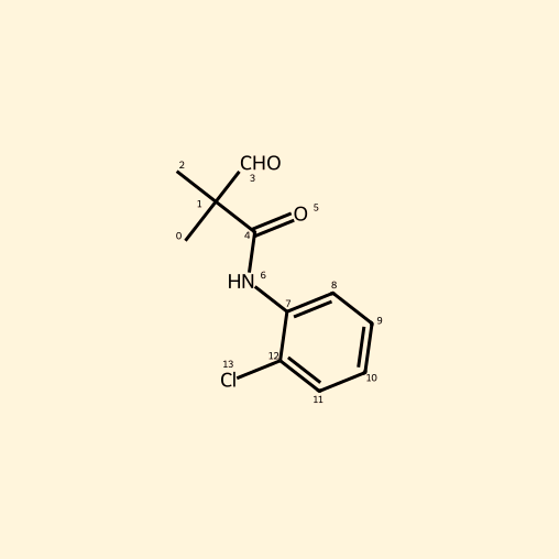 CC(C)(C=O)C(=O)Nc1ccccc1Cl